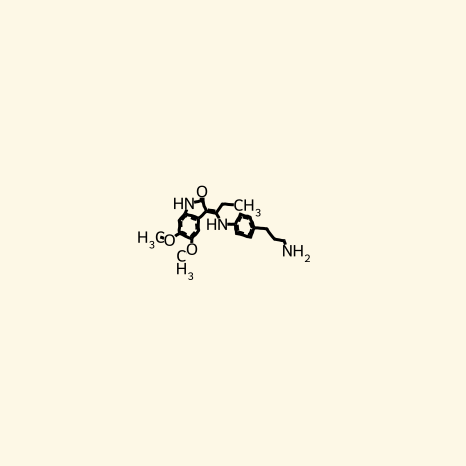 CCC(Nc1ccc(CCCN)cc1)=C1C(=O)Nc2cc(OC)c(OC)cc21